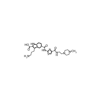 CN1CCN(CCNC(=O)c2csc(NC(=O)c3ccc4[nH]c(C(=O)O)c(CCCN)c4c3)n2)CC1